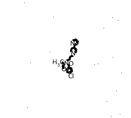 CC1=COc2cc(Cl)ccc2C(=O)N1CCCCN1CC=C(c2ccccn2)CC1